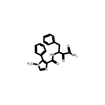 Cn1cnc(C(=O)NC(Cc2ccccc2)C(=O)C(N)=O)c1-c1ccccc1